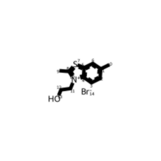 Cc1ccc2c(c1)sc(C)[n+]2CCO.[Br-]